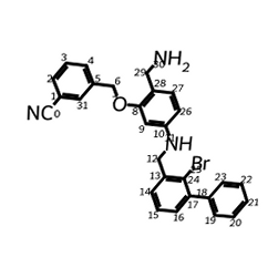 N#Cc1cccc(COc2cc(NCc3cccc(-c4ccccc4)c3Br)ccc2CN)c1